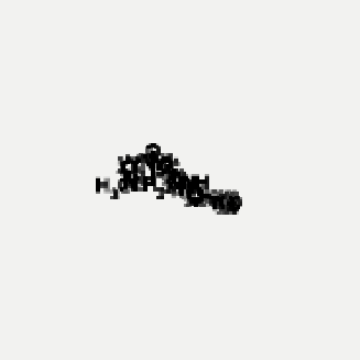 CN(C)c1cccc(CNC(=O)c2ccc(-c3ccnc(Nc4cccc(CCN5CCOCC5)c4)n3)s2)c1